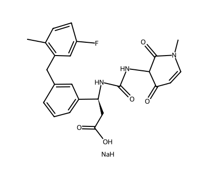 Cc1ccc(F)cc1Cc1cccc([C@H](CC(=O)O)NC(=O)NC2C(=O)C=CN(C)C2=O)c1.[NaH]